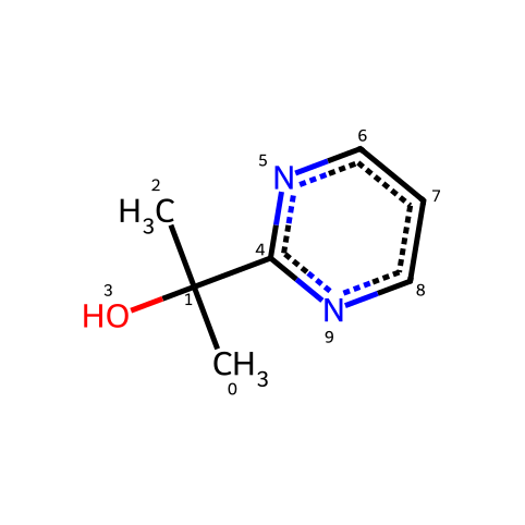 CC(C)(O)c1ncccn1